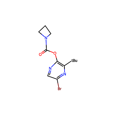 CC(C)(C)c1nc(Br)cnc1OC(=O)N1CCC1